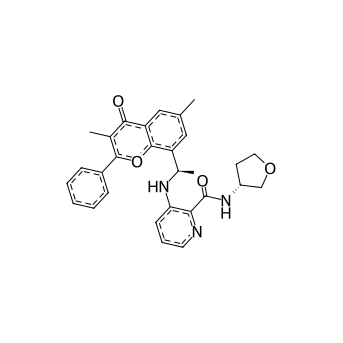 Cc1cc([C@@H](C)Nc2cccnc2C(=O)N[C@@H]2CCOC2)c2oc(-c3ccccc3)c(C)c(=O)c2c1